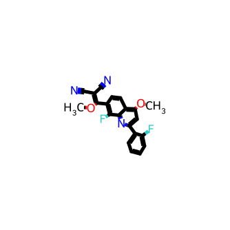 COC(=C(C#N)C#N)c1ccc2c(OC)cc(-c3ccccc3F)nc2c1F